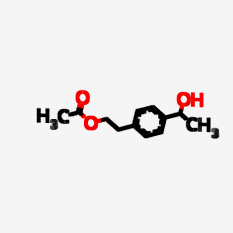 CC(=O)OCCc1ccc(C(C)O)cc1